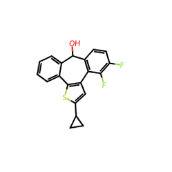 OC1c2ccccc2-c2sc(C3CC3)cc2-c2c1ccc(F)c2F